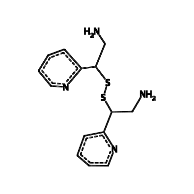 NCC(SSC(CN)c1ccccn1)c1ccccn1